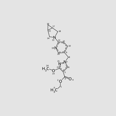 CCOC(=O)c1cn(Cc2ccc(N3CC4CC4C3)nc2)nc1OC